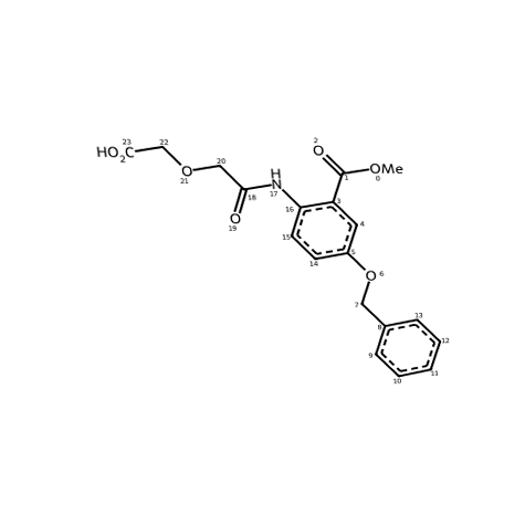 COC(=O)c1cc(OCc2ccccc2)ccc1NC(=O)COCC(=O)O